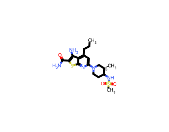 CCCc1cc(N2CCC(NS(C)(=O)=O)[C@@H](C)C2)nc2sc(C(N)=O)c(N)c12